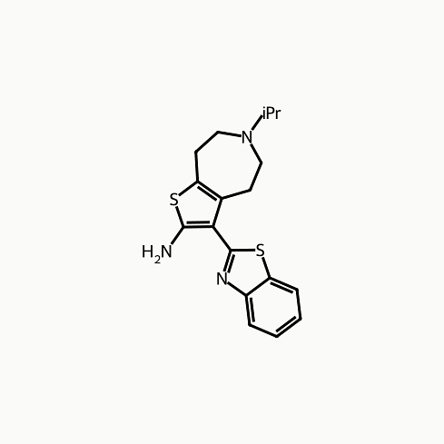 CC(C)N1CCc2sc(N)c(-c3nc4ccccc4s3)c2CC1